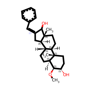 CO[C@H]1[C@H]2CC[C@H]3[C@@H](CC[C@@]4(C)C(O)/C(=C\c5ccccc5)C[C@H]34)[C@]2(C)CC[C@@H]1O